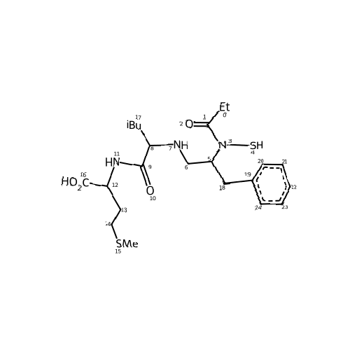 CCC(=O)N(S)C(CNC(C(=O)NC(CCSC)C(=O)O)C(C)CC)Cc1ccccc1